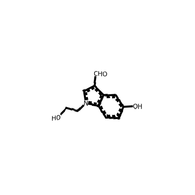 O=Cc1cn(CCO)c2ccc(O)cc12